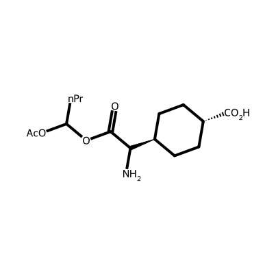 CCCC(OC(C)=O)OC(=O)C(N)[C@H]1CC[C@H](C(=O)O)CC1